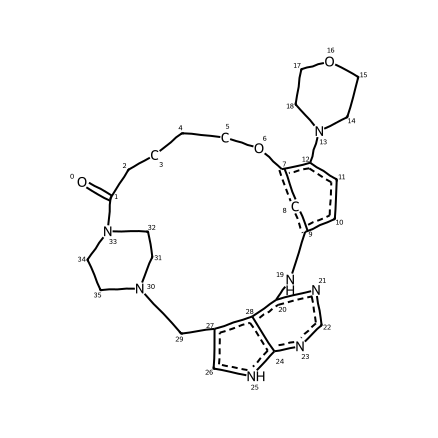 O=C1CCCCOc2cc(ccc2N2CCOCC2)Nc2ncnc3[nH]cc(c23)CN2CCN1CC2